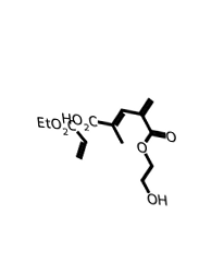 C=C(C=C(C)C(=O)O)C(=O)OCCO.C=CC(=O)OCC